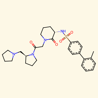 Cc1ccccc1-c1ccc(S(=O)(=O)N[C@H]2CCCN(CC(=O)N3CCC[C@H]3CN3CCCC3)C2=O)cc1